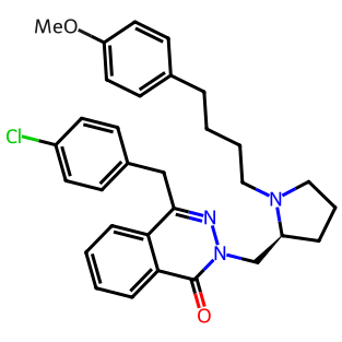 COc1ccc(CCCCN2CCC[C@H]2Cn2nc(Cc3ccc(Cl)cc3)c3ccccc3c2=O)cc1